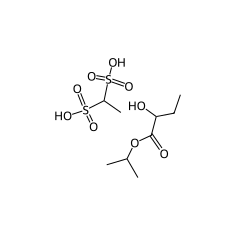 CC(S(=O)(=O)O)S(=O)(=O)O.CCC(O)C(=O)OC(C)C